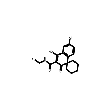 CC(=O)CNC(=O)C1=C(O)c2cc(Cl)ccc2C2(CCCCC2)C1=O